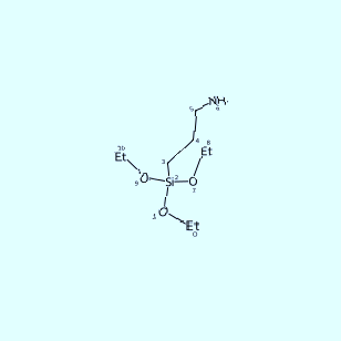 CCO[Si](CCC[NH])(OCC)OCC